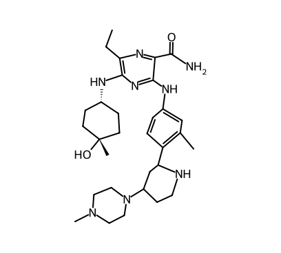 CCc1nc(C(N)=O)c(Nc2ccc(C3CC(N4CCN(C)CC4)CCN3)c(C)c2)nc1N[C@H]1CC[C@@](C)(O)CC1